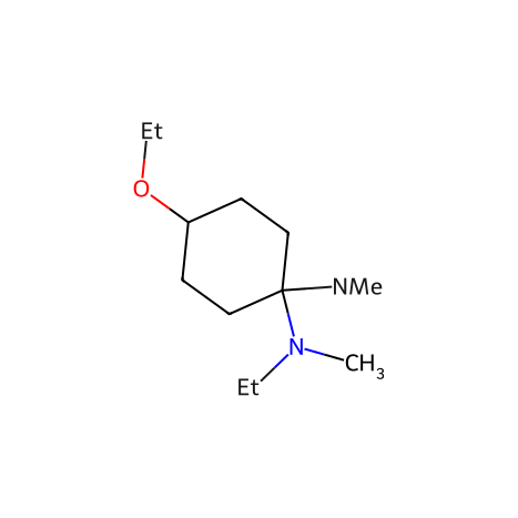 CCOC1CCC(NC)(N(C)CC)CC1